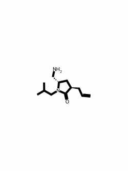 C=CC[C@@H]1C[C@@H](CN)N(CC(C)C)C1=O